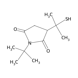 CC(C)(S)C1CC(=O)N(C(C)(C)C)C1=O